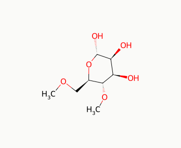 COC[C@H]1O[C@H](O)[C@@H](O)[C@@H](O)[C@@H]1OC